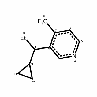 CCC(c1cnccc1C(F)(F)F)C1CC1